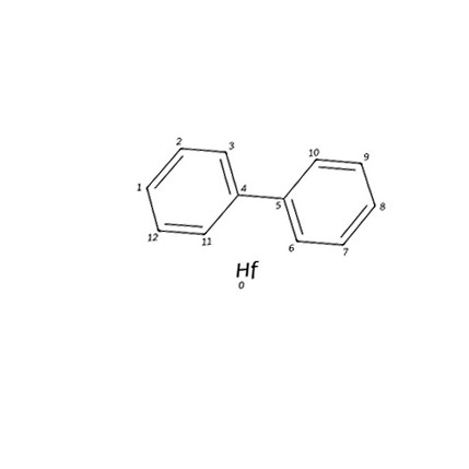 [Hf].c1ccc(-c2ccccc2)cc1